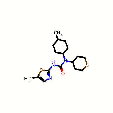 Cc1cnc(NC(=O)N(C2CCSCC2)C2CCC(C)CC2)s1